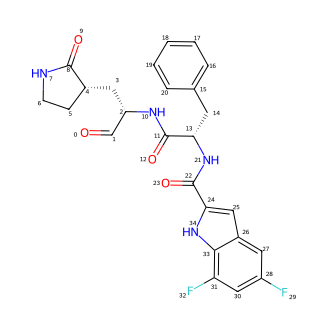 O=C[C@H](C[C@@H]1CCNC1=O)NC(=O)[C@H](Cc1ccccc1)NC(=O)c1cc2cc(F)cc(F)c2[nH]1